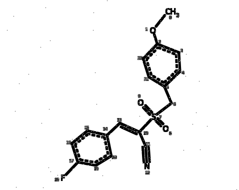 COc1ccc(CS(=O)(=O)C(C#N)=Cc2ccc(F)cc2)cc1